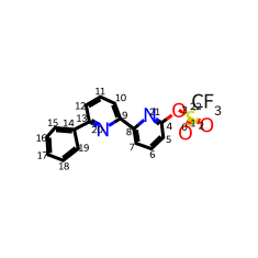 O=S(=O)(Oc1cccc(-c2cccc(-c3ccccc3)n2)n1)C(F)(F)F